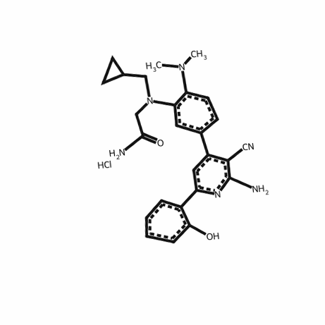 CN(C)c1ccc(-c2cc(-c3ccccc3O)nc(N)c2C#N)cc1N(CC(N)=O)CC1CC1.Cl